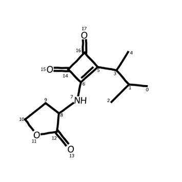 CC(C)C(C)c1c(NC2CCOC2=O)c(=O)c1=O